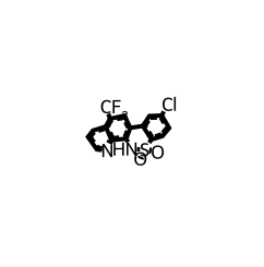 O=S1(=O)Nc2c(cc(C(F)(F)F)c3cccnc23)-c2cc(Cl)ccc21